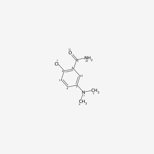 CN(C)c1ccc(Cl)c(C(N)=O)c1